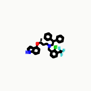 C[C@H](CCN(Cc1cccc(C(F)(F)F)c1Cl)CC(c1ccccc1)c1ccccc1)Oc1cccc2[nH]ccc12